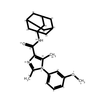 COc1cccc(-n2c(C)nc(C(=O)NC34CC5CC(CC(C5)C3)C4)c2C)c1